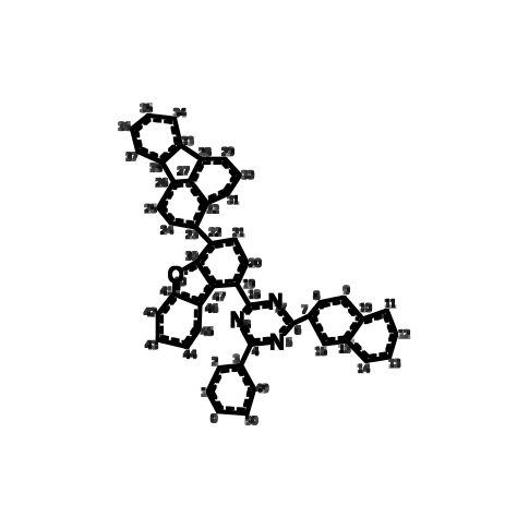 c1ccc(-c2nc(-c3ccc4ccccc4c3)nc(-c3ccc(-c4ccc5c6c(cccc46)-c4ccccc4-5)c4oc5ccccc5c34)n2)cc1